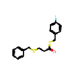 O=C(CCSCc1ccccc1)SCc1ccc(F)cc1